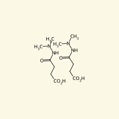 CN(C)NC(=O)CCC(=O)O.CN(C)NC(=O)CCC(=O)O